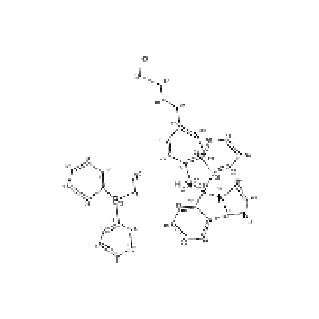 C=CB(c1ccccc1)c1ccccc1.CCCCCc1ccc([SiH2]C(c2ccccc2)(c2ccccc2)n2ccnc2)cc1